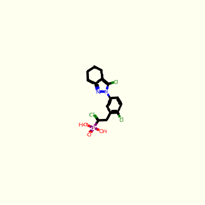 O=P(O)(O)C(Cl)Cc1cc(-n2nc3c(c2Cl)CCCC3)ccc1Cl